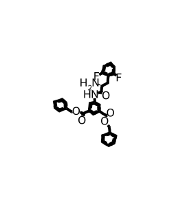 N[C@H](Cc1c(F)cccc1F)C(=O)Nc1cc(C(=O)OCc2ccccc2)cc(C(=O)OCc2ccccc2)c1